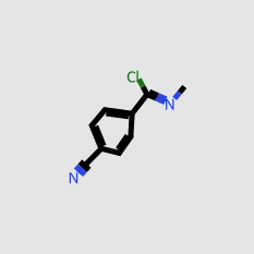 CN=C(Cl)c1ccc(C#N)cc1